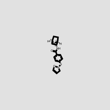 O=C(N[C@@H]1C[C@H]2CC[C@@H]1N2)c1ccc(SN2CC=CO2)cc1